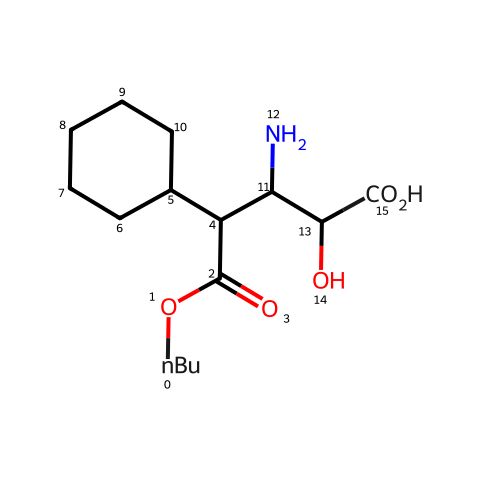 CCCCOC(=O)C(C1CCCCC1)C(N)C(O)C(=O)O